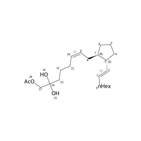 CCCCCC/C=C/[C@H]1CCC[C@@H]1C/C=C\CCCC(O)(O)COC(C)=O